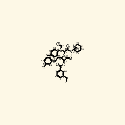 CCc1cccc(C(=O)OC2C(=O)N(C(C(=O)NC3CC4CCN3CC4)N(C=O)c3ccc(C)cc3)C2CCc2cccc(I)c2)c1